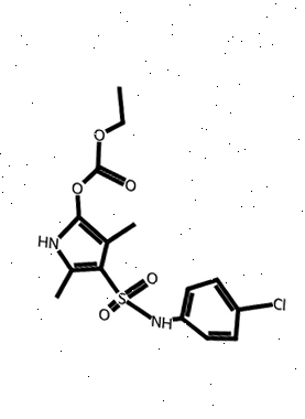 CCOC(=O)Oc1[nH]c(C)c(S(=O)(=O)Nc2ccc(Cl)cc2)c1C